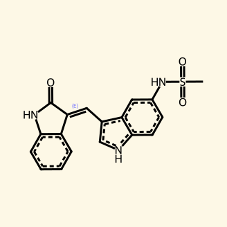 CS(=O)(=O)Nc1ccc2[nH]cc(/C=C3/C(=O)Nc4ccccc43)c2c1